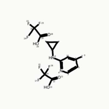 Ic1ccnc(NC2CC2)c1.O=C(O)C(F)(F)F.O=C(O)C(F)(F)F